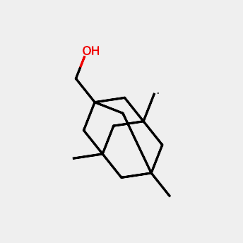 [CH2]C12CC3(C)CC(C)(C1)CC(CO)(C2)C3